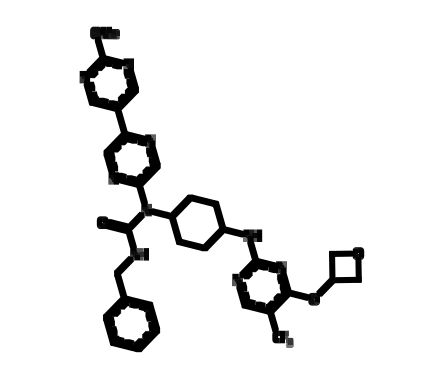 COc1ncc(-c2cnc(N(C(=O)NCc3ccccc3)C3CCC(Nc4ncc(C(F)(F)F)c(OC5COC5)n4)CC3)cn2)cn1